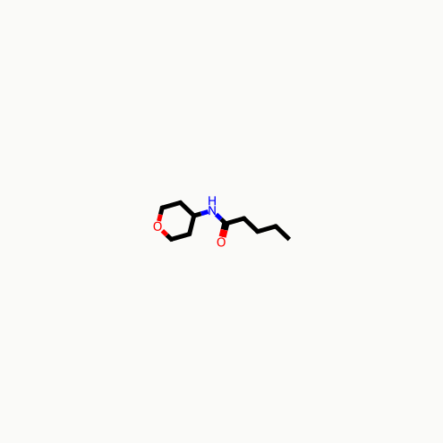 CCCCC(=O)NC1CCOCC1